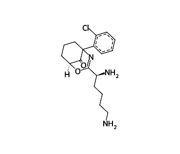 NCCCC[C@H](N)C1=NC2(c3ccccc3Cl)CCC[C@H](O1)C2=O